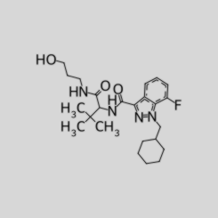 CC(C)(C)C(NC(=O)c1nn(CC2CCCCC2)c2c(F)cccc12)C(=O)NCCCO